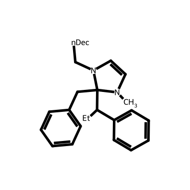 CCCCCCCCCCCN1C=CN(C)C1(Cc1ccccc1)C(CC)c1ccccc1